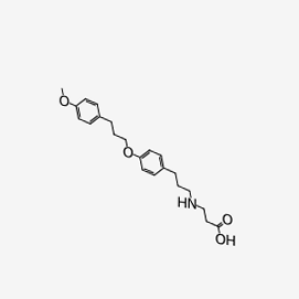 COc1ccc(CCCOc2ccc(CCCNCCC(=O)O)cc2)cc1